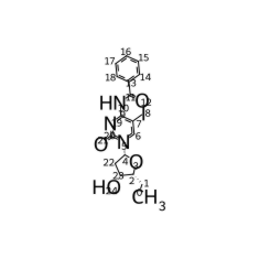 CC[C@H]1O[C@@H](n2cc(I)c(NC(=O)c3ccccc3)nc2=O)C[C@H]1O